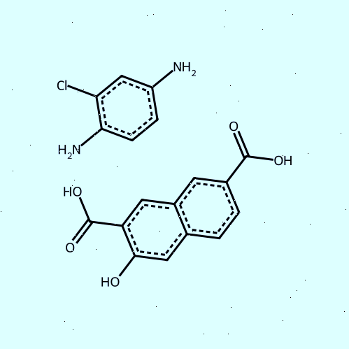 Nc1ccc(N)c(Cl)c1.O=C(O)c1ccc2cc(O)c(C(=O)O)cc2c1